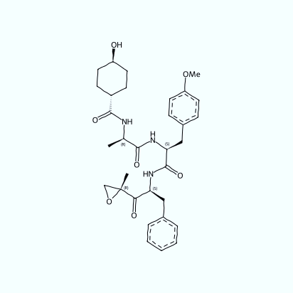 COc1ccc(C[C@H](NC(=O)[C@@H](C)NC(=O)[C@H]2CC[C@H](O)CC2)C(=O)N[C@@H](Cc2ccccc2)C(=O)[C@@]2(C)CO2)cc1